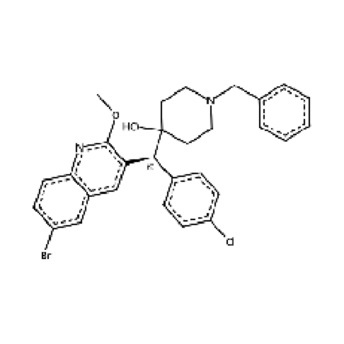 COc1nc2ccc(Br)cc2cc1[C@H](c1ccc(Cl)cc1)C1(O)CCN(Cc2ccccc2)CC1